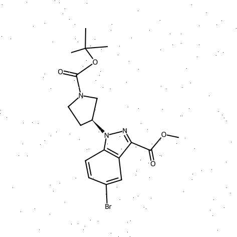 COC(=O)c1nn([C@H]2CCN(C(=O)OC(C)(C)C)C2)c2ccc(Br)cc12